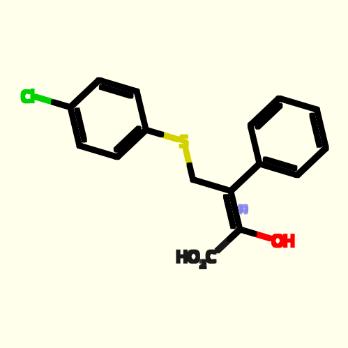 O=C(O)/C(O)=C(\CSc1ccc(Cl)cc1)c1ccccc1